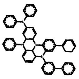 C1=CCCC(c2ccc3c(c2)N(c2cccc(-c4ccccc4)c2)C2C=CC=C4C2B3C2C=CC(N(c3ccccc3)c3ccccc3)=CC2N4c2ccccc2)=C1